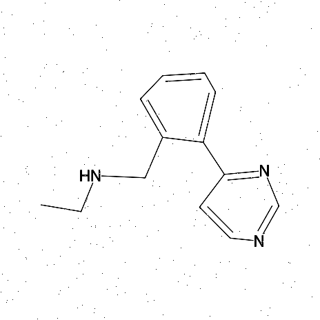 CCNCc1ccccc1-c1ccncn1